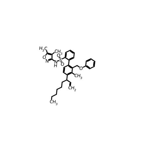 C=CC(CCCCCC)c1ccc(-c2ccccc2S(=O)(=O)Nc2noc(C)c2C)c(COc2ccccc2)c1C